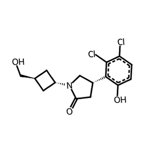 O=C1C[C@@H](c2c(O)ccc(Cl)c2Cl)CN1[C@H]1C[C@H](CO)C1